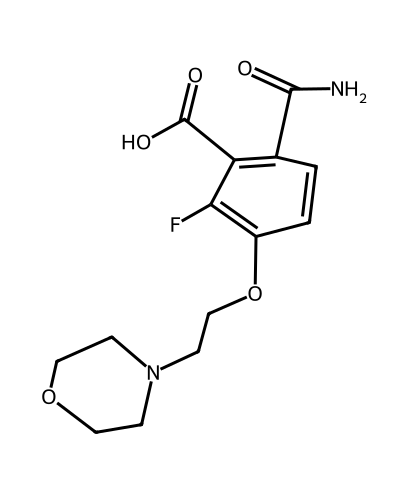 NC(=O)c1ccc(OCCN2CCOCC2)c(F)c1C(=O)O